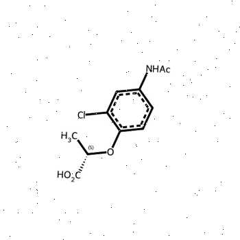 CC(=O)Nc1ccc(O[C@@H](C)C(=O)O)c(Cl)c1